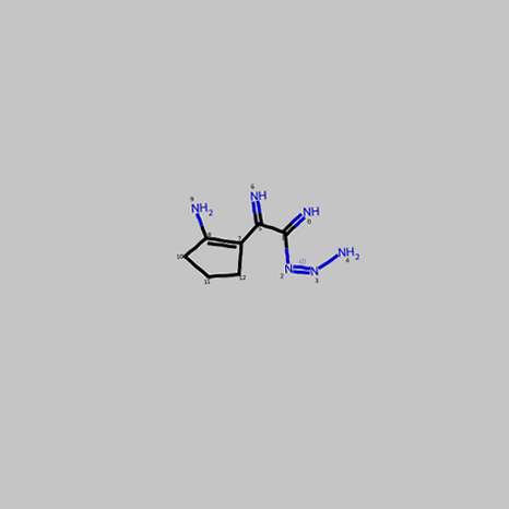 N=C(/N=N\N)C(=N)C1=C(N)CCC1